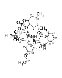 CCCCOP(=O)(OCCCC)Oc1cc(NC(=O)c2c[nH]c3ccccc3c2=O)c(-c2cccc(OCC)c2)cc1C(C)(C)C